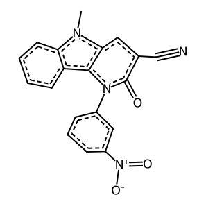 Cn1c2ccccc2c2c1cc(C#N)c(=O)n2-c1cccc([N+](=O)[O-])c1